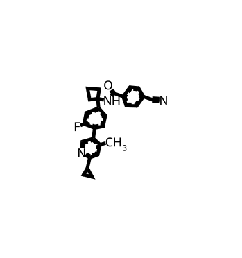 Cc1cc(C2CC2)ncc1-c1ccc(C2(NC(=O)c3ccc(C#N)cc3)CCC2)cc1F